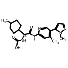 Cc1cc(NC(=O)[C@@H](NC(=O)O)C2CCC(C)CC2)ncc1-c1ccnn1C